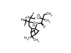 CCC(C)(C)C(=O)OC1CC2CC(C1CC(O)(C(F)(F)F)C(F)(F)F)C2(C)C